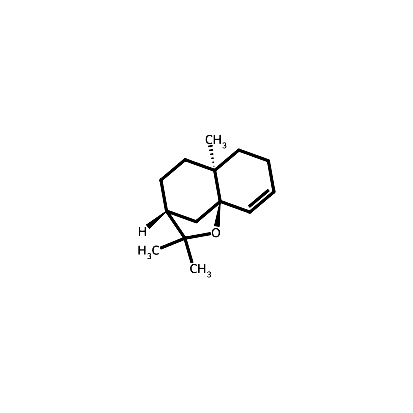 CC1(C)O[C@]23C=CCC[C@]2(C)CC[C@@H]1C3